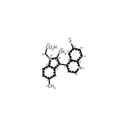 Cc1ccc2c(c1)c(-c1ccnc3ccc(F)cc13)c(C)n2CC(=O)O